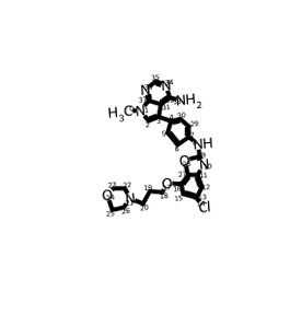 Cn1cc(-c2ccc(Nc3nc4cc(Cl)cc(OCCCN5CCOCC5)c4o3)cc2)c2c(N)ncnc21